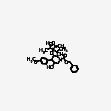 COc1ccc(C2C(O)CN(C(=O)OCc3ccccc3)CC2O[Si](C(C)C)(C(C)C)C(C)C)cc1